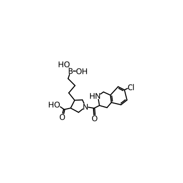 O=C(O)C1CN(C(=O)C2Cc3ccc(Cl)cc3CN2)CC1CCCB(O)O